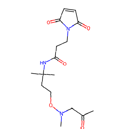 CC(=O)CN(C)OCCC(C)(C)NC(=O)CCN1C(=O)C=CC1=O